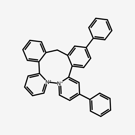 c1ccc(-c2ccc3c(c2)Cc2ccccc2-c2cccc[n+]2-[n+]2ccc(-c4ccccc4)cc2-3)cc1